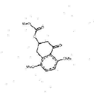 COC(=O)OC1CC(=O)c2c(OC)ccc(OC)c2C1